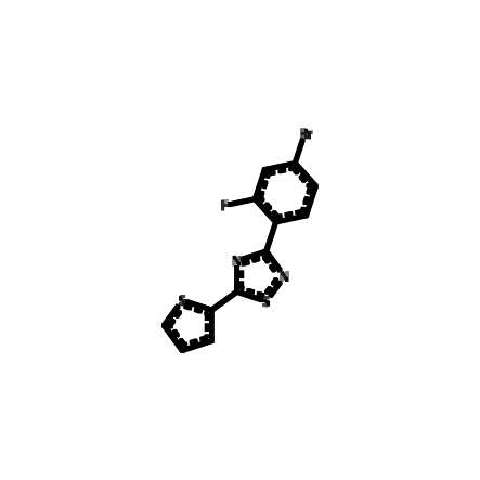 Fc1cc(Br)ccc1-c1nsc(-c2cccs2)n1